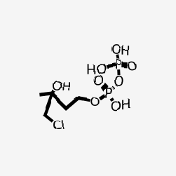 CC(O)(CCl)CCOP(=O)(O)OP(=O)(O)O